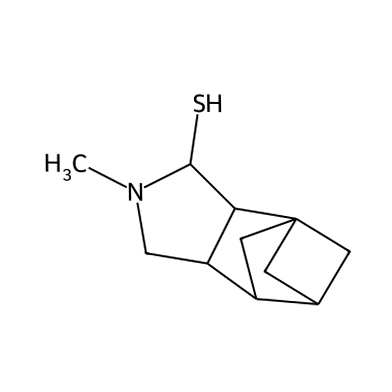 CN1CC2C3CC4(CC3C4)C2C1S